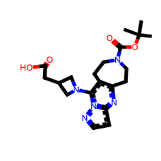 CC(C)(C)OC(=O)N1CCc2nc3ccnn3c(N3CC(CC(=O)O)C3)c2CC1